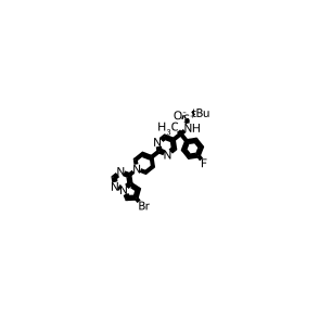 CC(N[S+]([O-])C(C)(C)C)(c1ccc(F)cc1)c1cnc(C2=CCN(c3ncnn4cc(Br)cc34)CC2)nc1